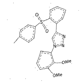 COc1cccc(-n2cc(-c3ccccc3S(=O)(=O)c3ccc(C)cc3)nn2)c1OC